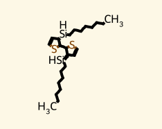 CCCCCCCC[SiH]=C1C=CSC1C1SC=CC1=[SiH]CCCCCCCC